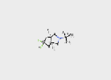 CC(C)(C)N1C[C@@H]2CC(F)(F)C[C@@H]2C1